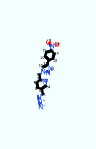 [N-]=[N+]=NCc1ccc(Cn2cc(-c3ccc([N+](=O)[O-])cc3)nn2)nc1